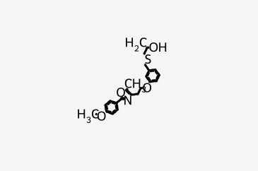 C=C(O)CSCc1cccc(OCCc2nc(-c3ccc(OC)cc3)oc2C)c1